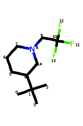 CC(C)(C)C1CCCN(CC(F)(F)F)C1